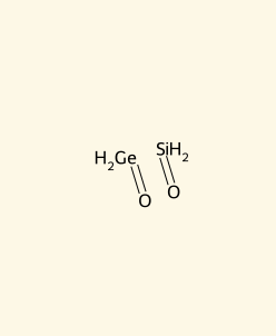 O=[SiH2].[O]=[GeH2]